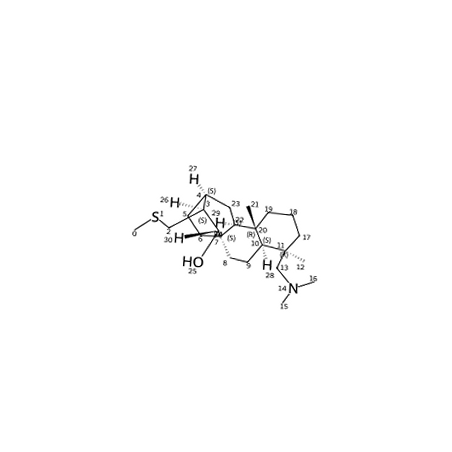 CSC[C@H]1[C@H]2CC[C@@]3(CC[C@@H]4[C@](C)(CN(C)C)CCC[C@@]4(C)[C@@H]3C2)[C@@H]1O